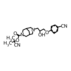 CC(C)(C#N)OC(=O)N1CC2CC(CN(CC(O)COc3ccc(C#N)cc3)C2)C1